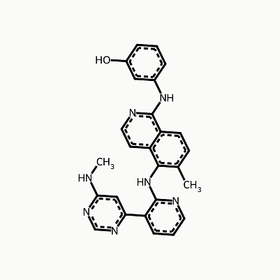 CNc1cc(-c2cccnc2Nc2c(C)ccc3c(Nc4cccc(O)c4)nccc23)ncn1